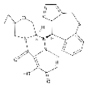 O=C1c2c(O)c(=O)ccn2N([C@@H]2c3ccccc3SCC3=CC=CC32)[C@@H]2COC3(CC3)CN12